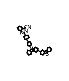 N#Cc1nc(-c2ccc(-c3ccc(-n4c5ccccc5c5cc(-c6ccc7sc8ccccc8c7c6)ccc54)cc3)cc2)nc2ccccc12